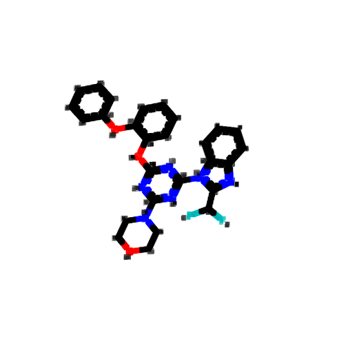 FC(F)c1nc2ccccc2n1-c1nc(Oc2ccccc2Oc2ccccc2)nc(N2CCOCC2)n1